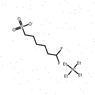 CC[N+](CC)(CC)CC.O=S(=O)([O-])CCCCCC(F)F